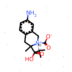 CC(C)(C)[N@@+]1(C(=O)[O-])Cc2cc(N)ccc2CC1(C)C(=O)O